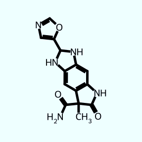 CC1(C(N)=O)C(=O)Nc2cc3c(cc21)NC(c1cnco1)N3